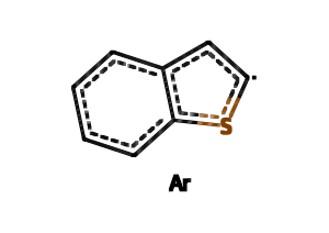 [Ar].[c]1cc2ccccc2s1